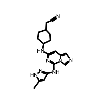 Cc1cc(Nc2nc(NC3CCC(CC#N)CC3)cc3cncn23)n[nH]1